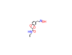 C=CCNC(=O)C1COc2ccc(CC=NO)cc2O1